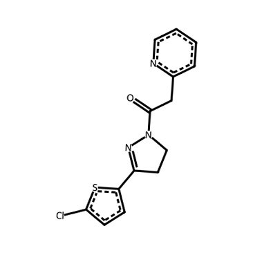 O=C(Cc1ccccn1)N1CCC(c2ccc(Cl)s2)=N1